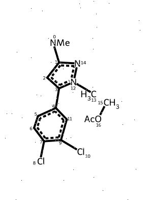 CNc1cc(-c2ccc(Cl)c(Cl)c2)n(C)n1.COC(C)=O